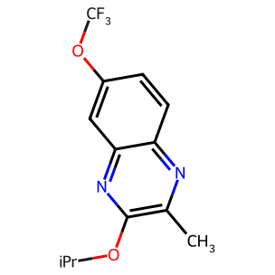 Cc1nc2ccc(OC(F)(F)F)cc2nc1OC(C)C